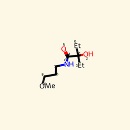 CCC(O)(CC)C(=O)NCCCOC